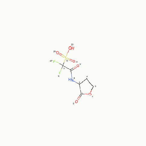 O=C1OCCC1NC(=O)C(F)(F)S(=O)(=O)O